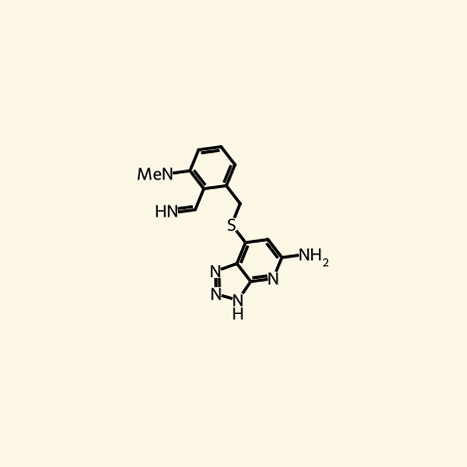 CNc1cccc(CSc2cc(N)nc3[nH]nnc23)c1C=N